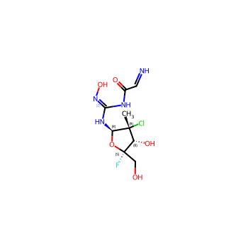 C[C@]1(Cl)[C@H](N/C(=N/O)NC(=O)C=N)O[C@](F)(CO)[C@H]1O